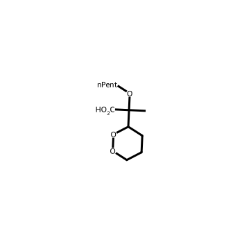 CCCCCOC(C)(C(=O)O)C1CCCOO1